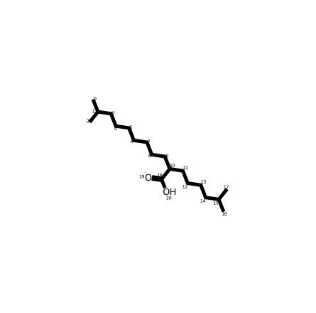 CC(C)CCCCCCCC(CCCCC(C)C)C(=O)O